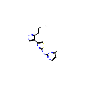 COCCc1n[nH]cc1-c1csc(Nc2nccc(C)n2)n1